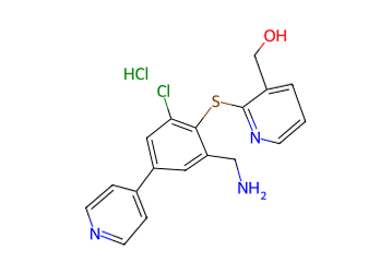 Cl.NCc1cc(-c2ccncc2)cc(Cl)c1Sc1ncccc1CO